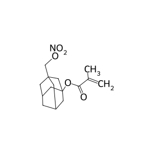 C=C(C)C(=O)OC12CC3CC(CC(CO[N+](=O)[O-])(C3)C1)C2